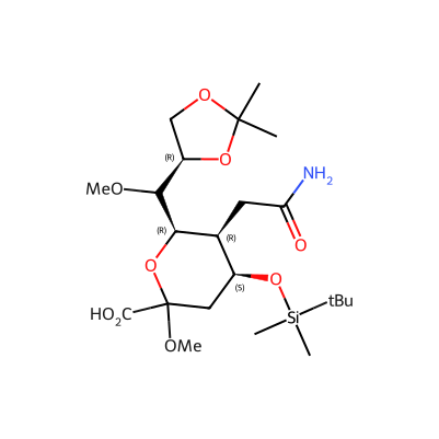 COC([C@H]1COC(C)(C)O1)[C@@H]1OC(OC)(C(=O)O)C[C@H](O[Si](C)(C)C(C)(C)C)[C@@H]1CC(N)=O